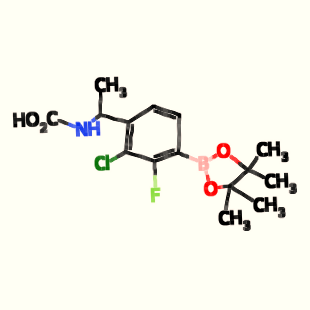 CC(NC(=O)O)c1ccc(B2OC(C)(C)C(C)(C)O2)c(F)c1Cl